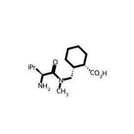 CC(C)[C@H](N)C(=O)N(C)C[C@@H]1CCCC[C@@H]1C(=O)O